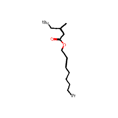 CC(C)CCCCCCCOC(=O)CC(C)CC(C)(C)C